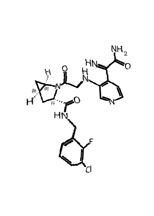 N=C(C(N)=O)c1ccncc1NCC(=O)N1[C@@H]2C[C@@H]2C[C@H]1C(=O)NCc1cccc(Cl)c1F